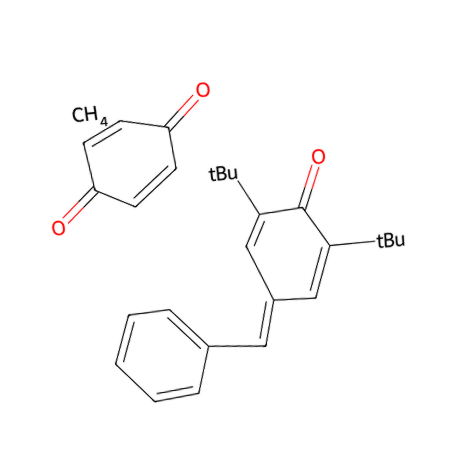 C.CC(C)(C)C1=CC(=Cc2ccccc2)C=C(C(C)(C)C)C1=O.O=C1C=CC(=O)C=C1